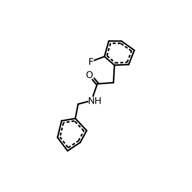 O=C(Cc1ccccc1F)NCc1ccccc1